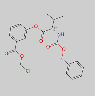 CC(C)[C@H](NC(=O)OCc1ccccc1)C(=O)Oc1cccc(C(=O)OCCl)c1